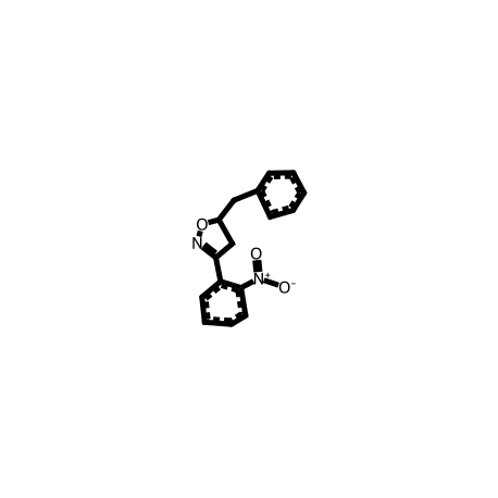 O=[N+]([O-])c1ccccc1C1=NOC(Cc2ccccc2)C1